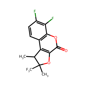 CC1c2c(c(=O)oc3c(F)c(F)ccc23)OC1(C)C(F)(F)F